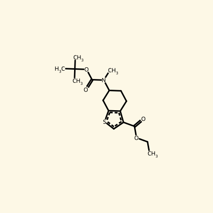 CCOC(=O)c1csc2c1CCC(N(C)C(=O)OC(C)(C)C)C2